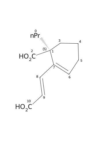 CCC[C@]1(C(=O)O)CCCC=C1C=CC(=O)O